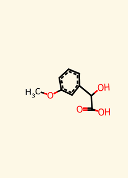 COc1cccc(C(O)C(=O)O)c1